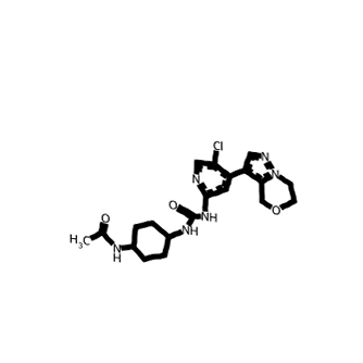 CC(=O)NC1CCC(NC(=O)Nc2cc(-c3cnn4c3COCC4)c(Cl)cn2)CC1